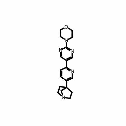 c1nc(N2CCOCC2)ncc1-c1ccc(C23CCN(CC2)C3)cn1